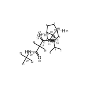 CC(C)N1C[C@H]2CC[C@@H](C1)[C@@H]2NC(=O)C(C)(C)C(=O)NC(C)(C)C